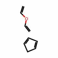 C1=CCC=C1.C=COC=C